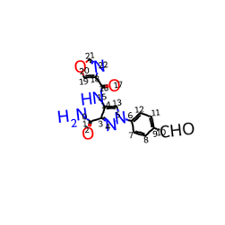 NC(=O)c1nn(-c2ccc(C=O)cc2)cc1NC(=O)c1cocn1